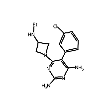 CCNC1CN(c2nc(N)nc(N)c2-c2cccc(Cl)c2)C1